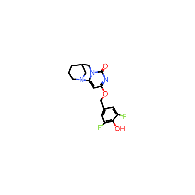 O=c1nc(OCc2cc(F)c(O)c(F)c2)cc2n1CC1CCCN2C1